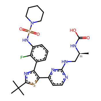 C[C@@H](CNc1nccc(-c2sc(C(C)(C)C)nc2-c2cccc(NS(=O)(=O)N3CCCCC3)c2F)n1)NC(=O)O